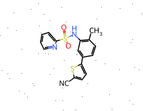 Cc1ccc(-c2ccc(C#N)s2)cc1NS(=O)(=O)c1ccccn1